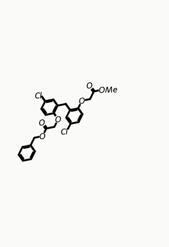 COC(=O)COc1ccc(Cl)cc1Cc1cc(Cl)ccc1OCC(=O)OCc1ccccc1